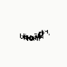 CN1CCN(NC(=O)Nc2ccc(-c3c[nH]c(=O)cn3)cc2)CC1